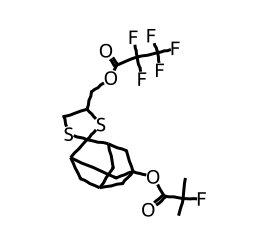 CC(C)(F)C(=O)OC12CC3CC(C1)C1(SCC(COC(=O)C(F)(F)C(F)(F)F)S1)C(C3)C2